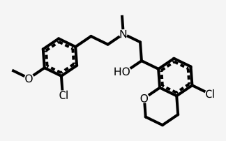 COc1ccc(CCN(C)CC(O)c2ccc(Cl)c3c2OCCC3)cc1Cl